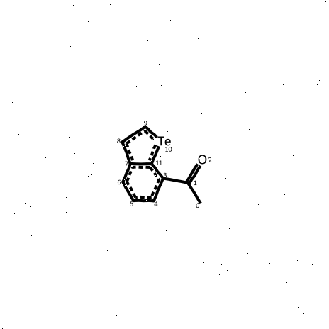 CC(=O)c1cccc2cc[te]c12